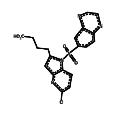 O=C(O)CCCc1cc2nc(Cl)ccc2n1S(=O)(=O)c1ccc2nccnc2c1